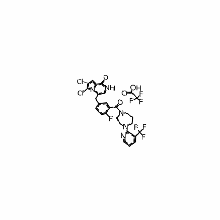 O=C(O)C(F)(F)F.O=C(c1cc(Cc2c[nH]c(=O)c3cc(Cl)c(Cl)n23)ccc1F)N1CCCN(c2ncccc2C(F)(F)F)CC1